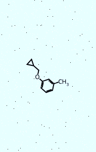 Cc1cccc(OCC2CC2)c1